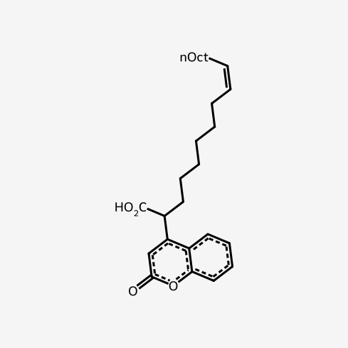 CCCCCCCC/C=C\CCCCCCC(C(=O)O)c1cc(=O)oc2ccccc12